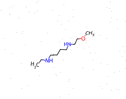 CCNCCCCNCCOC